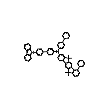 CC1(C)c2cc(N(c3ccc(-c4ccccc4)cc3)c3ccc(-c4ccc(-n5c6ccccc6c6ccccc65)cc4)cc3)ccc2-c2cc3c(cc21)-c1c(-c2ccccc2)cccc1C3(C)C